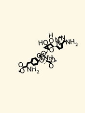 COC(=O)[C@H](C)N[P@@](=O)(OC[C@]12C[C@]1(O)[C@@H](O)[C@H](c1ccc3c(N)ncnn13)O2)Oc1ccc(C[C@H](N)C(=O)OC)cc1